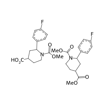 COC(=O)C1CCN(C(=O)OC)C(c2ccc(F)cc2)C1.COC(=O)N1CCC(C(=O)O)CC1c1ccc(F)cc1